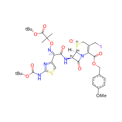 COc1ccc(COC(=O)C2=C(CI)C[S@@+]([O-])[C@@H]3[C@H](NC(=O)/C(=N\OC(C)(C)C(=O)OC(C)(C)C)c4csc(NC(=O)OC(C)(C)C)n4)C(=O)N23)cc1